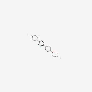 CCCCC1CCC(C2CCC(c3ccc(C4CCC(CC)CC4)c(F)c3F)CC2)OC1